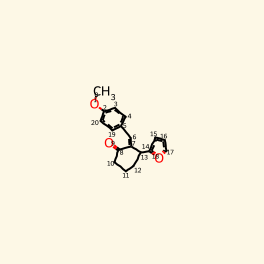 COc1ccc(/C=C2\C(=O)CCCC2c2ccco2)cc1